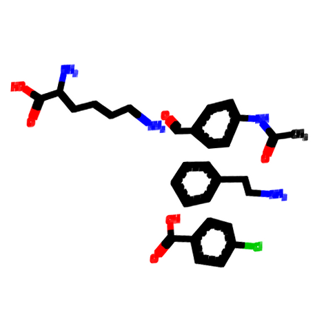 CC(=O)Nc1ccc(C=O)cc1.NCCCCC(N)C(=O)O.NCCc1ccccc1.O=C(O)c1ccc(Cl)cc1